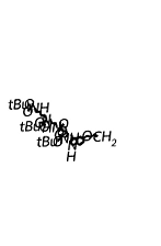 C=CCOc1ccc2[nH]cc(C[C@@H](COC(=O)NCCCN(CCCCNC(=O)OC(C)(C)C)C(=O)OC(C)(C)C)NC(=O)OC(C)(C)C)c2c1